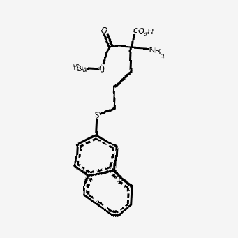 CC(C)(C)OC(=O)C(N)(CCCSc1ccc2ccccc2c1)C(=O)O